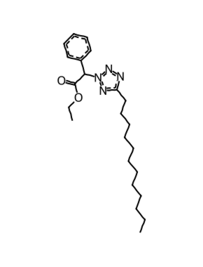 CCCCCCCCCCCCc1nnn(C(C(=O)OCC)c2ccccc2)n1